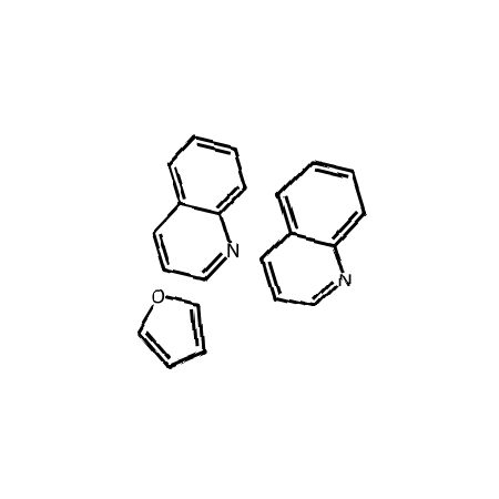 c1ccc2ncccc2c1.c1ccc2ncccc2c1.c1ccoc1